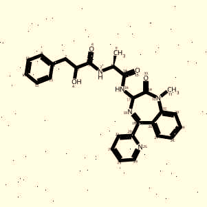 C[C@H](NC(=O)C(O)Cc1ccccc1)C(=O)NC1N=C(c2ccccn2)c2ccccc2N(C)C1=O